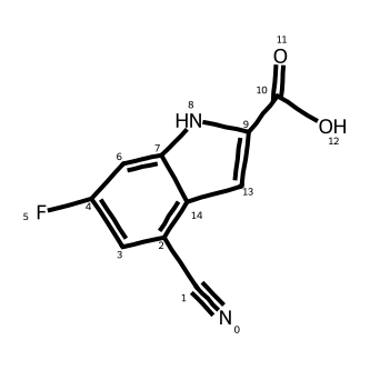 N#Cc1cc(F)cc2[nH]c(C(=O)O)cc12